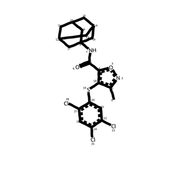 Cc1noc(C(=O)NC23CC4CC(CC(C4)C2)C3)c1Sc1cc(Cl)c(Cl)cc1Cl